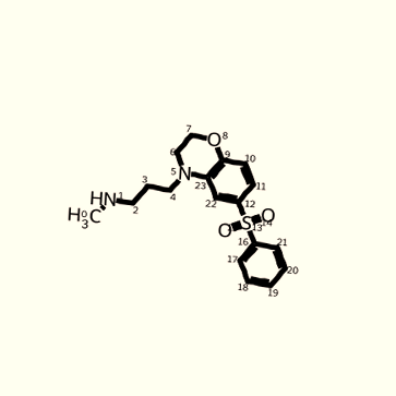 CNCCCN1CCOc2ccc(S(=O)(=O)c3ccccc3)cc21